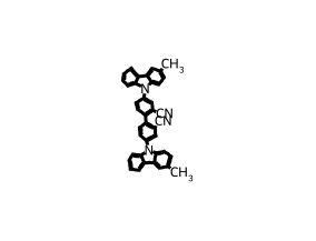 Cc1ccc2c(c1)c1ccccc1n2-c1ccc(-c2ccc(-n3c4ccccc4c4cc(C)ccc43)cc2C#N)c(C#N)c1